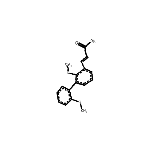 COc1ccccc1-c1cccc(C=CC(=O)O)c1OC